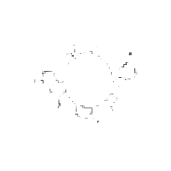 Cn1nc2nc1-c1cc(ccc1F)Cc1c(F)cc3[nH]ccc3c1CCS(=O)(=O)CC(C)(C)CCCC2(C)c1cccc(O)c1